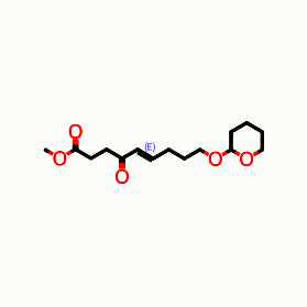 COC(=O)CCC(=O)/C=C/CCCOC1CCCCO1